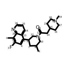 Cc1c(F)cc(C2CC(C)CN(C(=O)CC3CCN(C)CC3)C2)c2cccnc12